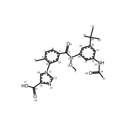 CON(C(=O)c1ccc(C)c(-n2cnc(C(=O)O)c2)c1)c1cc(NC(C)=O)cc(C(C)(C)C)c1